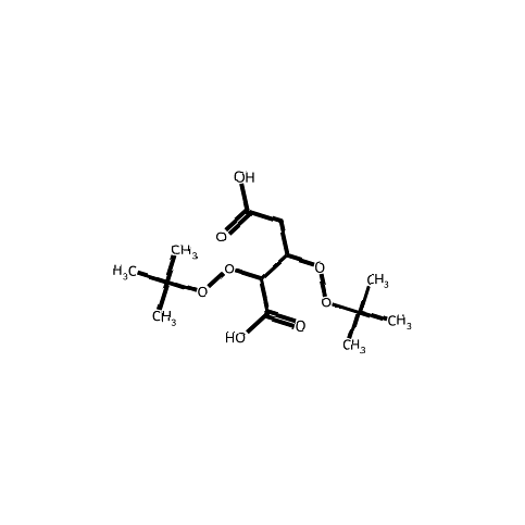 CC(C)(C)OOC(CC(=O)O)C(OOC(C)(C)C)C(=O)O